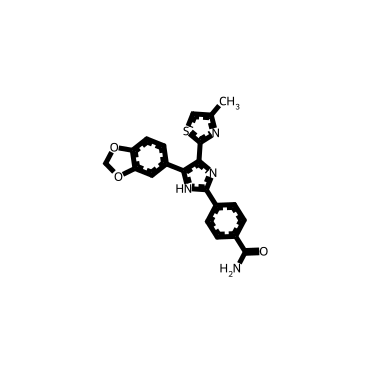 Cc1csc(-c2nc(-c3ccc(C(N)=O)cc3)[nH]c2-c2ccc3c(c2)OCO3)n1